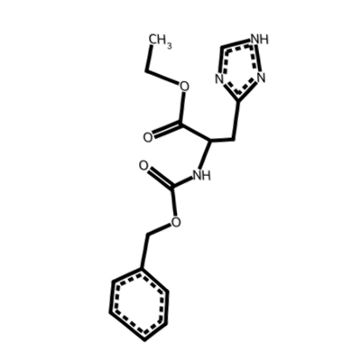 CCOC(=O)C(Cc1nc[nH]n1)NC(=O)OCc1ccccc1